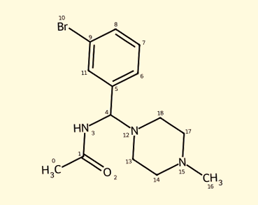 CC(=O)NC(c1cccc(Br)c1)N1CCN(C)CC1